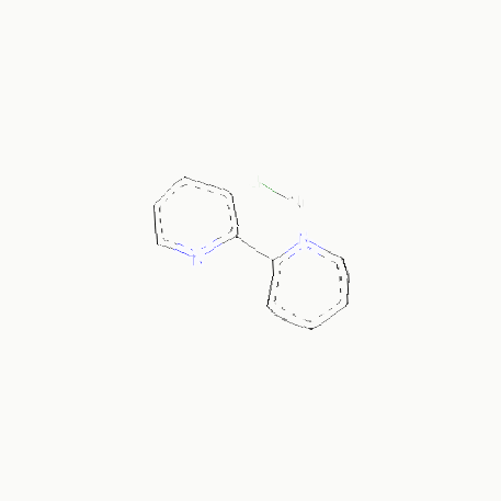 [Cl][Ni].c1ccc(-c2ccccn2)nc1